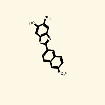 Nc1cc2nc(-c3ccc4cc(C(=O)O)ccc4c3)oc2cc1O